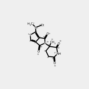 CCN(C)c1scc2c1C(=O)N(C1(C)CCC(=O)NC1=O)C2=O